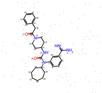 N=C(N)c1cccc(N(C(=O)NC2CCN(C(=O)Cc3ccccc3)CC2)C2CCCCCC2)c1